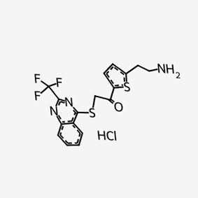 Cl.NCCc1ccc(C(=O)CSc2nc(C(F)(F)F)nc3ccccc23)s1